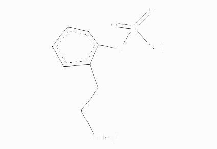 CCCCCCCCCc1ccccc1OS(N)(=O)=O